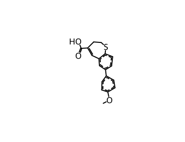 COc1ccc(-c2ccc3c(c2)C=C(C(=O)O)CCS3)cc1